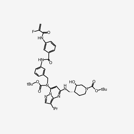 C=C(F)C(=O)Nc1cccc(C(=O)Nc2cccc(CN(C(=O)OC(C)(C)C)c3cc(NC[C@H]4CCN(C(=O)OC(C)(C)C)C[C@@H]4O)nc4c(C(C)C)cnn34)c2)c1